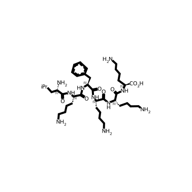 CC(C)C[C@H](N)C(=O)N[C@@H](CCCCN)C(=O)N[C@@H](Cc1ccccc1)C(=O)N[C@@H](CCCCN)C(=O)N[C@@H](CCCCN)C(=O)N[C@@H](CCCCN)C(=O)O